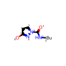 CCC(C)NC(=O)n1ccc([O])n1